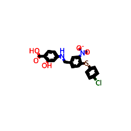 O=C(O)c1ccc(NCc2ccc(Sc3ccc(Cl)cc3)c([N+](=O)[O-])c2)cc1O